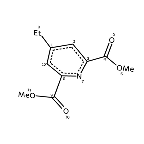 CCc1cc(C(=O)OC)nc(C(=O)OC)c1